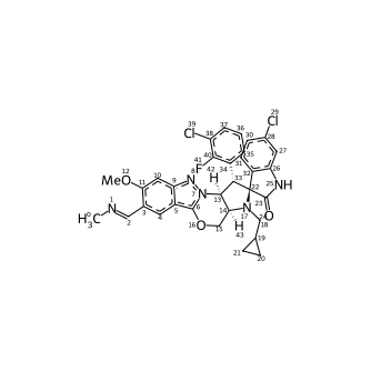 C/N=C/c1cc2c3n(nc2cc1OC)[C@@H]1[C@H](CO3)N(CC2CC2)[C@@]2(C(=O)Nc3cc(Cl)ccc32)[C@H]1c1cccc(Cl)c1F